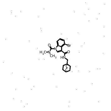 CN(C)C(=O)n1cc(C(=O)NCC23CCC(CC2)CC3)c2c(Br)cccc21